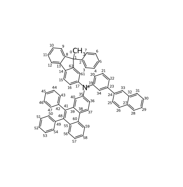 CC1(c2ccccc2)c2ccccc2-c2ccc(N(c3cccc(-c4ccc5ccccc5c4)c3)c3ccc4c(c3)c(-c3ccccc3)c(-c3ccccc3)c3ccccc34)cc21